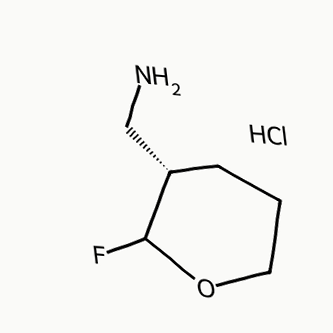 Cl.NC[C@@H]1CCCOC1F